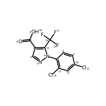 O=C(O)c1cnn(-c2ccc(Cl)cc2Cl)c1C(F)(F)F